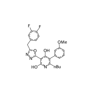 CCCCc1nc(O)c(-c2nnc(Cc3ccc(F)c(F)c3)o2)c(O)c1-c1cccc(OC)c1